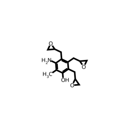 Cc1c(N)c(CC2CO2)c(CC2CO2)c(CC2CO2)c1O